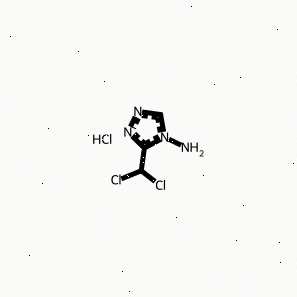 Cl.Nn1cnnc1C(Cl)Cl